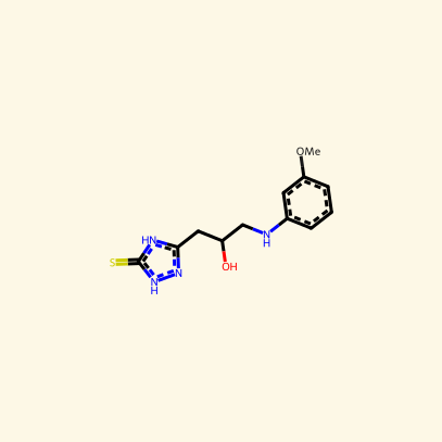 COc1cccc(NCC(O)Cc2n[nH]c(=S)[nH]2)c1